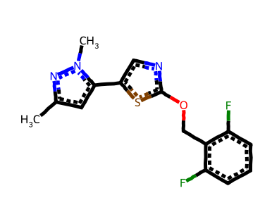 Cc1cc(-c2cnc(OCc3c(F)cccc3F)s2)n(C)n1